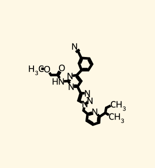 CCC(C)c1cccc(Cn2cc(-c3cc(-c4cccc(C#N)c4)nc(NC(=O)COC)n3)nn2)n1